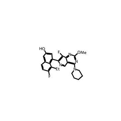 CCc1c(F)ccc2cc(O)cc(-c3ncc4c(N5CCCCC5)nc(OC)nc4c3F)c12